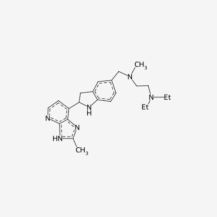 CCN(CC)CCN(C)Cc1ccc2c(c1)CC(c1ccnc3[nH]c(C)nc13)N2